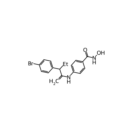 C=C(Nc1ccc(C(=O)NO)cc1)C(CC)c1ccc(Br)cc1